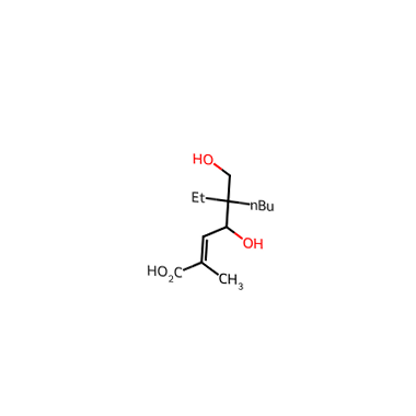 CCCCC(CC)(CO)C(O)C=C(C)C(=O)O